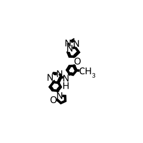 Cc1cc(Nc2ncnc3ccc(N4CCCC4=O)cc23)ccc1Oc1ccn2ncnc2c1